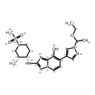 CCOC(C)n1cc(-c2ccn3nc(N[C@H]4CCN(S(C)(=O)=O)C[C@H]4C)nc3c2O)cn1